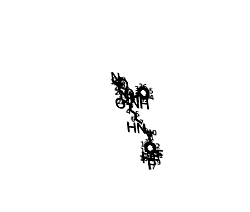 O=C(NC(CCCCNC1CC1c1ccc(C(F)(F)F)c(F)c1)C(=O)NCc1cnco1)c1ccccc1